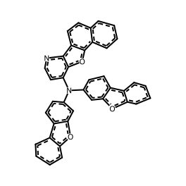 c1ccc2c(c1)ccc1c3nccc(N(c4ccc5c(c4)oc4ccccc45)c4ccc5c(c4)oc4ccccc45)c3oc21